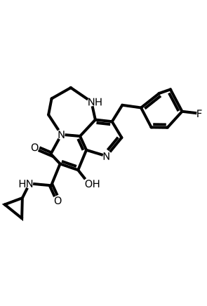 O=C(NC1CC1)c1c(O)c2ncc(Cc3ccc(F)cc3)c3c2n(c1=O)CCCN3